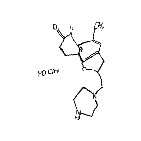 Cc1cc2c(c3c1NC(=O)CC3)OC(CN1CCNCC1)C2.Cl.Cl